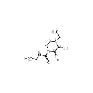 CCOC(=O)N1CCN(CC)C(=O)C1=O